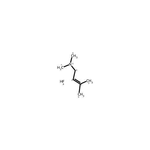 CC(C)=CCN(C)C.F